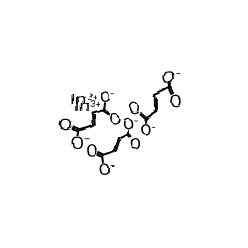 O=C([O-])C=CC(=O)[O-].O=C([O-])C=CC(=O)[O-].O=C([O-])C=CC(=O)[O-].[In+3].[In+3]